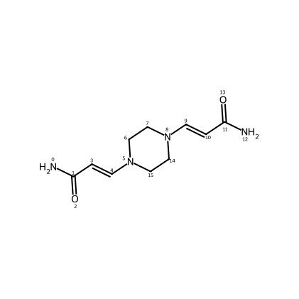 NC(=O)C=CN1CCN(C=CC(N)=O)CC1